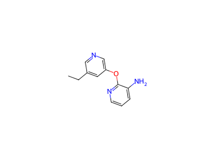 CCc1cncc(Oc2ncccc2N)c1